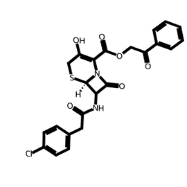 O=C(Cc1ccc(Cl)cc1)NC1C(=O)N2C(C(=O)OCC(=O)c3ccccc3)=C(O)CS[C@H]12